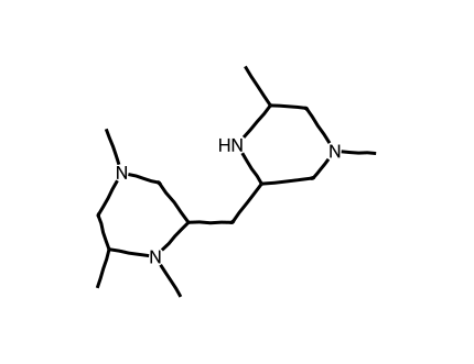 CC1CN(C)CC(CC2CN(C)CC(C)N2C)N1